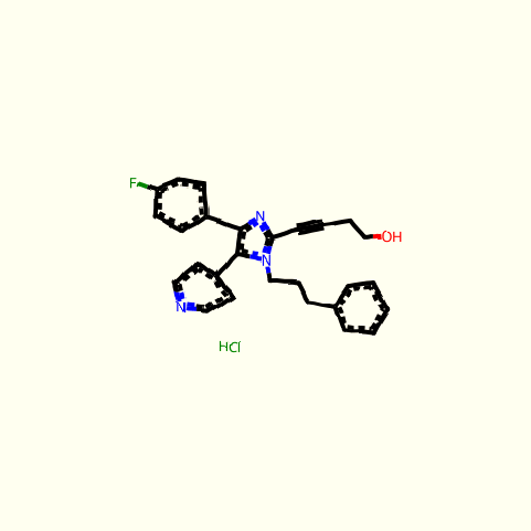 Cl.OCCC#Cc1nc(-c2ccc(F)cc2)c(-c2ccncc2)n1CCCc1ccccc1